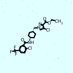 CCOC(=O)c1nn(C[C@H]2CC[C@H](NC(=O)c3cc(C(F)(F)F)ccc3Cl)CC2)cc1Cl